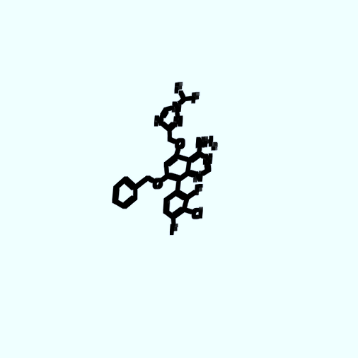 Nc1ncnc2c(-c3ccc(F)c(Cl)c3F)c(OCc3ccccc3)cc(OCc3ncn(C(F)F)n3)c12